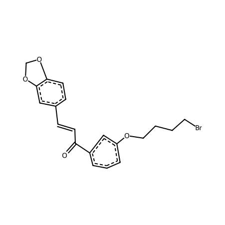 O=C(/C=C/c1ccc2c(c1)OCO2)c1cccc(OCCCCBr)c1